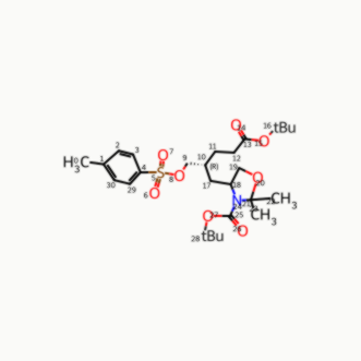 Cc1ccc(S(=O)(=O)OC[C@H](CCC(=O)OC(C)(C)C)CC2COC(C)(C)N2C(=O)OC(C)(C)C)cc1